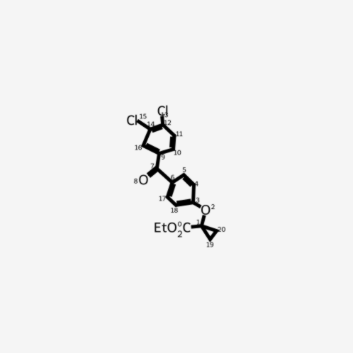 CCOC(=O)C1(Oc2ccc(C(=O)c3ccc(Cl)c(Cl)c3)cc2)CC1